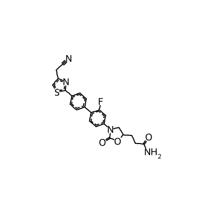 N#CCc1csc(-c2ccc(-c3ccc(N4CC(CCC(N)=O)OC4=O)cc3F)cc2)n1